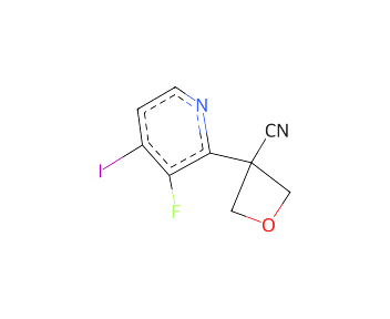 N#CC1(c2nccc(I)c2F)COC1